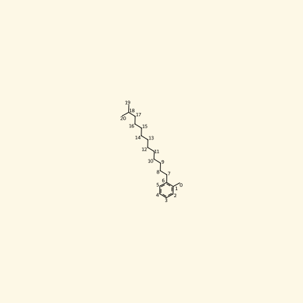 Cc1ccccc1CCCCCCCCCCCC(C)C